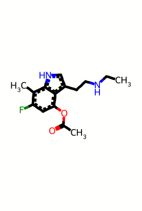 CCNCCc1c[nH]c2c(C)c(F)cc(OC(C)=O)c12